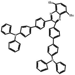 CC(C)(C)c1ccc(C(C)(C)C)c2nc(-c3ccc(-c4ccc(N(c5ccccc5)c5ccccc5)cc4)cc3)c(-c3ccc(-c4ccc(N(c5ccccc5)c5ccccc5)cc4)cc3)nc12